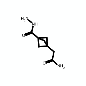 NNC(=O)C12CC(CC(N)=O)(C1)C2